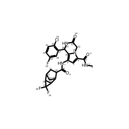 CNC(=O)c1cc(NC(=O)C2CC3CC2C2C3C2(F)F)c2n1CC(=O)NC2c1cc(F)ccc1Cl